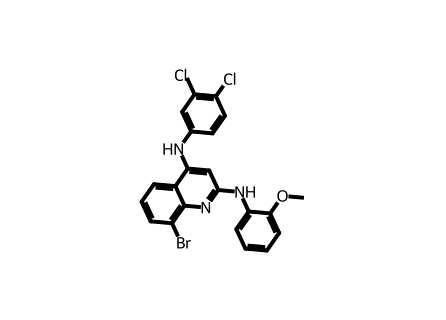 COc1ccccc1Nc1cc(Nc2ccc(Cl)c(Cl)c2)c2cccc(Br)c2n1